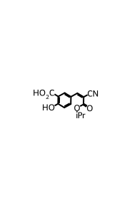 CC(C)OC(=O)C(C#N)=Cc1ccc(O)c(C(=O)O)c1